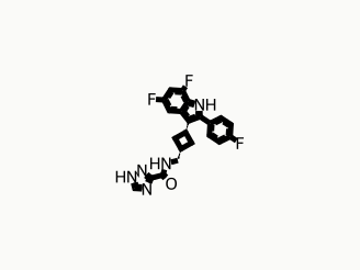 O=C(NC[C@H]1C[C@@H](c2c(-c3ccc(F)cc3)[nH]c3c(F)cc(F)cc32)C1)c1nc[nH]n1